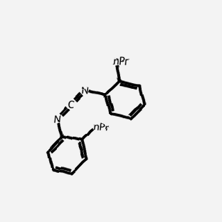 CCCc1ccccc1N=C=Nc1ccccc1CCC